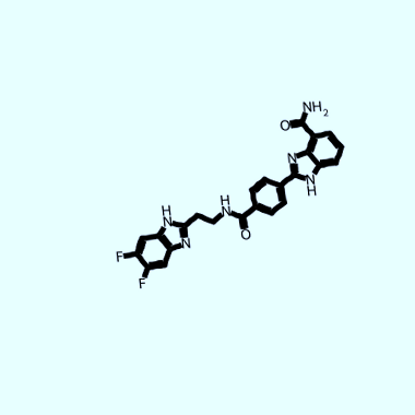 NC(=O)c1cccc2[nH]c(-c3ccc(C(=O)NCCc4nc5cc(F)c(F)cc5[nH]4)cc3)nc12